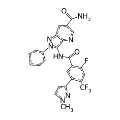 Cn1ccc(-c2cc(C(=O)Nc3c4ncc(C(N)=O)cc4nn3-c3ccccc3)c(F)cc2C(F)(F)F)n1